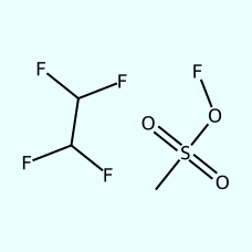 CS(=O)(=O)OF.FC(F)C(F)F